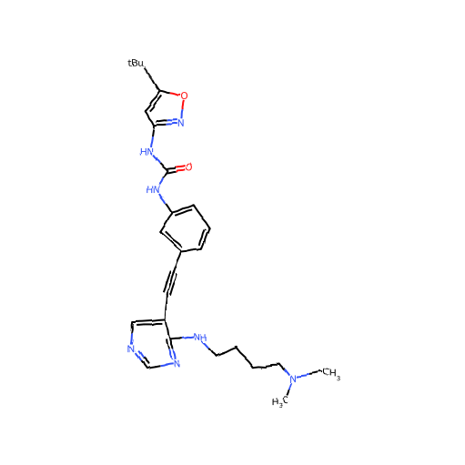 CN(C)CCCCNc1ncncc1C#Cc1cccc(NC(=O)Nc2cc(C(C)(C)C)on2)c1